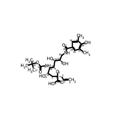 C=CC[C@]1(C(=O)O)C[C@H](O)[C@@H](NC(=O)OC(C)(C)C)[C@H]([C@H](O)[C@H](O)CNC(=O)c2cc(C)c(O)c(C)c2)O1